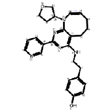 Oc1ccc(CCNc2nc(-c3cccnc3)nc3c2CCC/C=C\N3[C@H]2CCOC2)cc1